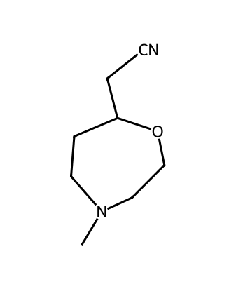 CN1CCOC(CC#N)CC1